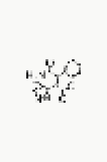 NC(=O)c1c(-c2nncs2)c(=O)oc2ccccc12